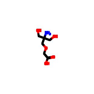 NC(CO)(CO)COCC(=O)O